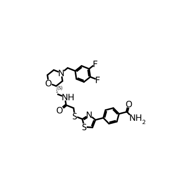 NC(=O)c1ccc(-c2csc(SCC(=O)NC[C@H]3CN(Cc4ccc(F)c(F)c4)CCO3)n2)cc1